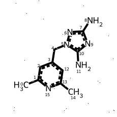 Cc1cc(Cn2nc(N)nc2N)cc(C)n1